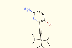 CC(C)[Si](C#Cc1nc(N)ccc1Br)(C(C)C)C(C)C